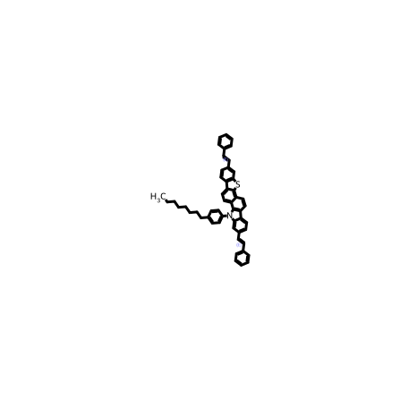 CCCCCCCCc1ccc(-n2c3cc(/C=C/c4ccccc4)ccc3c3ccc4c(ccc5c6ccc(/C=C/c7ccccc7)cc6sc54)c32)cc1